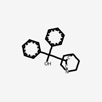 OC(c1ccccc1)(c1ccccc1)C1CC2CCN(CC2)C1